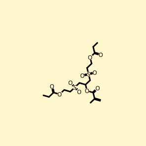 C=C(C)C(=O)OC(CS(=O)(=O)CCOC(=O)CC)CS(=O)(=O)CCOC(=O)CC